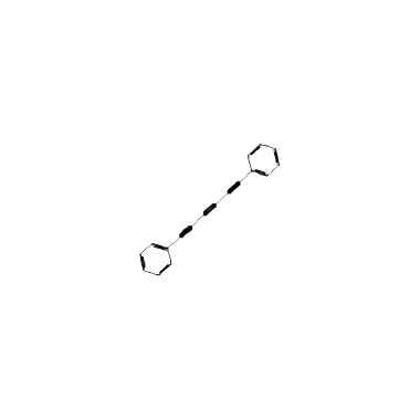 C(#CC#Cc1ccccc1)C#Cc1ccccc1